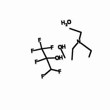 CCN(CC)CC.CO.O.OC(F)(C(F)F)C(F)(F)F